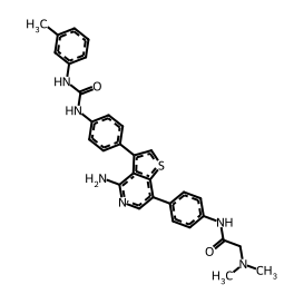 Cc1cccc(NC(=O)Nc2ccc(-c3csc4c(-c5ccc(NC(=O)CN(C)C)cc5)cnc(N)c34)cc2)c1